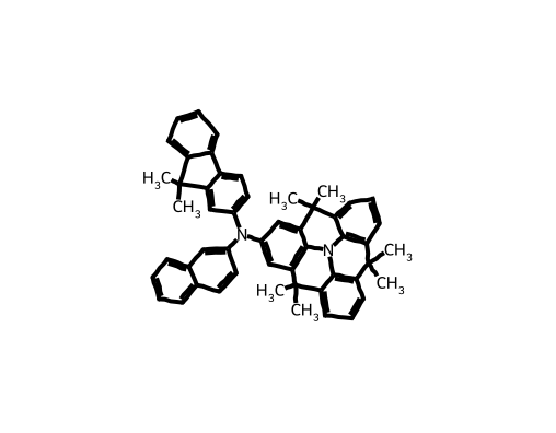 CC1(C)c2ccccc2-c2ccc(N(c3cc4c5c(c3)C(C)(C)c3cccc6c3N5c3c(cccc3C4(C)C)C6(C)C)c3ccc4ccccc4c3)cc21